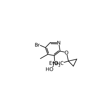 CCOC(=O)C1(Oc2ncc(Br)c(C)c2NO)CC1